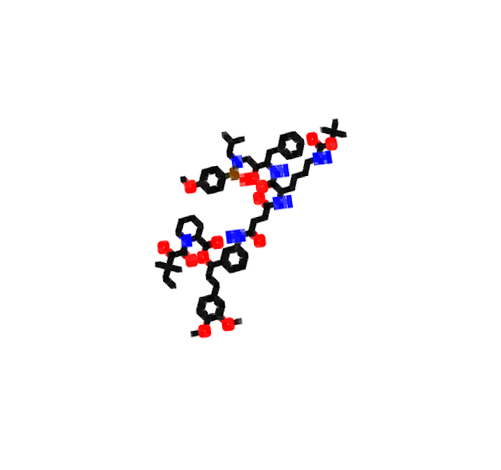 CCC(C)(C)C(=O)C(=O)N1CCCCC1C(=O)OC(CCc1ccc(OC)c(OC)c1)c1cccc(NC(=O)CCC(=O)NC(CCCCNC(=O)OC(C)(C)C)C(=O)NC(Cc2ccccc2)C(O)CN(CC(C)C)Sc2ccc(OC)cc2)c1